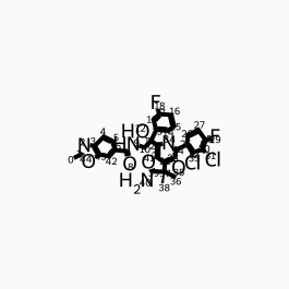 Cc1nc2ccc(C(=O)NC[C@@](O)(c3cccc(F)c3)c3cc4c(c(-c5ccc(F)c(Cl)c5Cl)n3)OC[C@]4(C)C(N)=O)cc2o1